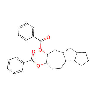 O=C(OC1CCC2C(CC3CCCC32)CC1OC(=O)c1ccccc1)c1ccccc1